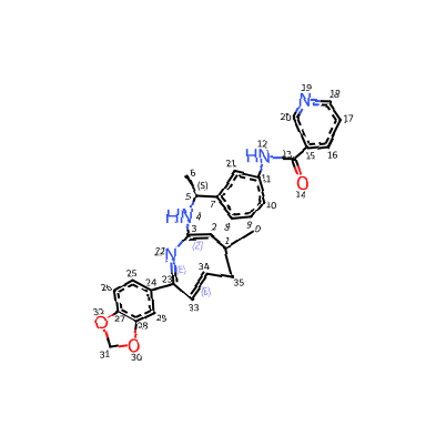 CC1\C=C(N[C@@H](C)c2cccc(NC(=O)c3cccnc3)c2)/N=C(c2ccc3c(c2)OCO3)\C=C\C1